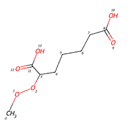 COOC(CCCCC(=O)O)C(=O)O